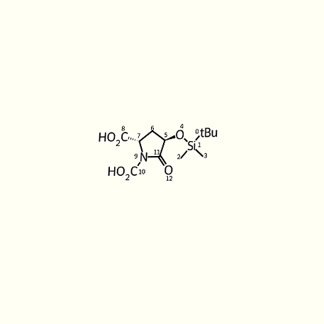 CC(C)(C)[Si](C)(C)O[C@@H]1C[C@@H](C(=O)O)N(C(=O)O)C1=O